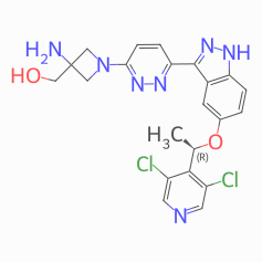 C[C@@H](Oc1ccc2[nH]nc(-c3ccc(N4CC(N)(CO)C4)nn3)c2c1)c1c(Cl)cncc1Cl